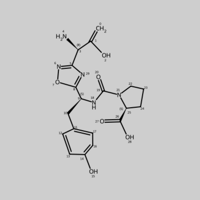 C=C(O)[C@H](N)c1noc([C@H](Cc2ccc(O)cc2)NC(=O)N2CCC[C@H]2C(=O)O)n1